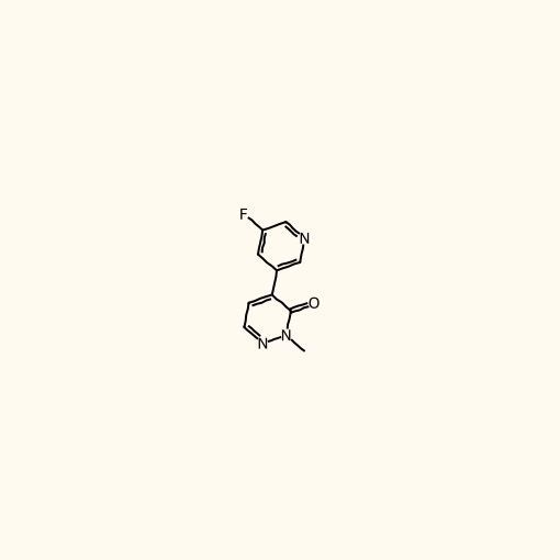 Cn1nccc(-c2cncc(F)c2)c1=O